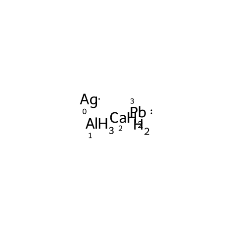 [Ag].[AlH3].[CaH2].[PbH2]